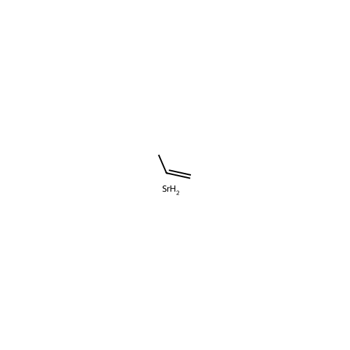 C=CC.[SrH2]